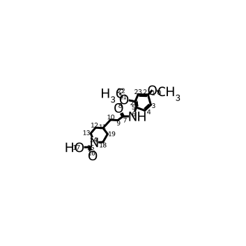 COc1ccc(NC(=O)CCC2CCN(C(=O)O)CC2)c(OC)c1